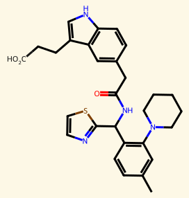 Cc1ccc(C(NC(=O)Cc2ccc3[nH]cc(CCC(=O)O)c3c2)c2nccs2)c(N2CCCCC2)c1